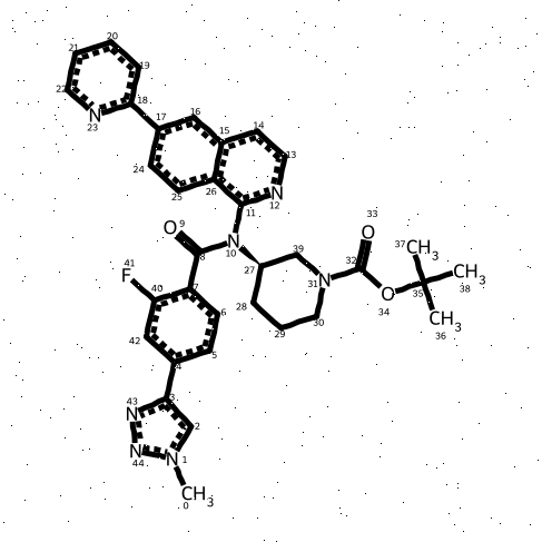 Cn1cc(-c2ccc(C(=O)N(c3nccc4cc(-c5ccccn5)ccc34)[C@@H]3CCCN(C(=O)OC(C)(C)C)C3)c(F)c2)nn1